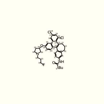 CC(C)(C)C(=O)Nc1ccc2c(c1)CCCC(c1ccc(Cl)cc1Cl)=C2c1ccc(OC2CCN(CCCF)C2)cc1